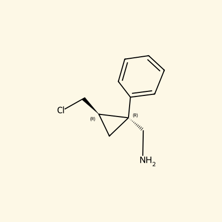 NC[C@]1(c2ccccc2)C[C@H]1CCl